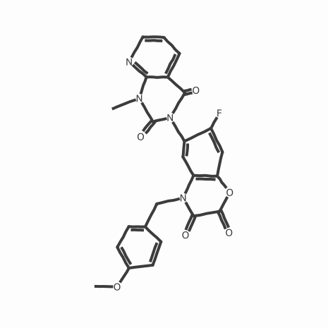 COc1ccc(Cn2c(=O)c(=O)oc3cc(F)c(-n4c(=O)c5cccnc5n(C)c4=O)cc32)cc1